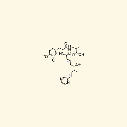 COc1ccc(CC(NC(=O)/C=C/CC(O)C(C)/C=C/c2cnccn2)C(=O)NCC(C)C(=O)O)cc1Cl